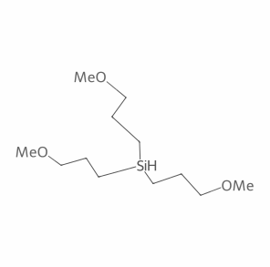 COCCC[SiH](CCCOC)CCCOC